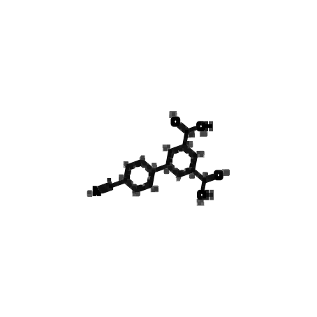 N#Cc1ccc(-c2cc(C(=O)O)cc(C(=O)O)c2)cc1